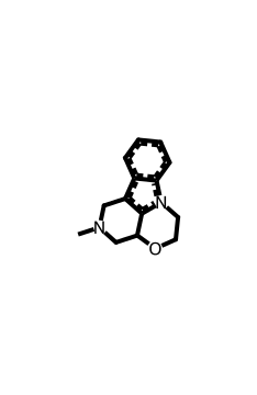 CN1Cc2c3n(c4ccccc24)CCOC3C1